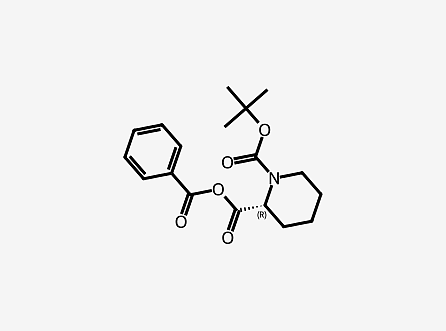 CC(C)(C)OC(=O)N1CCCC[C@@H]1C(=O)OC(=O)c1ccccc1